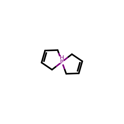 C1=CC[PH]2(C1)CC=CC2